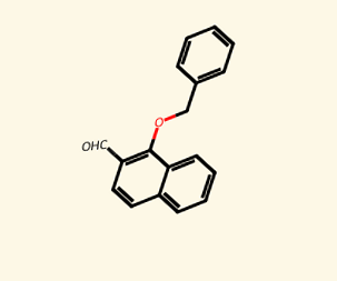 O=Cc1ccc2ccccc2c1OCc1ccccc1